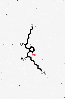 CCCCCCCCC(C)Cc1cccc(O)c1CC(C)CCCCCCCC